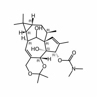 CC1=C[C@]23C(O)[C@@H](C=C4COC(C)(C)O[C@H]4[C@]2(O)[C@H]1OC(=O)N(C)C)[C@H]1[C@@H](C[C@H]3C)C1(C)C